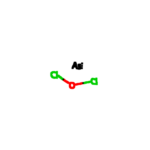 ClOCl.[As]